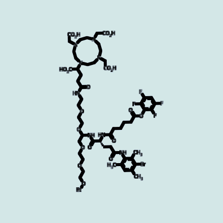 CCOCCOCCOCC(NC(=O)[C@@H](CCC(=O)Nc1c(C)cc(C)c(Br)c1C)NC(=O)CCCCC(=O)Oc1c(F)c(F)cc(F)c1F)OCCOCCNC(=O)CCC(C(=O)O)N1CCN(CC(=O)O)CCN(CC(=O)O)CCN(CC(=O)O)CC1